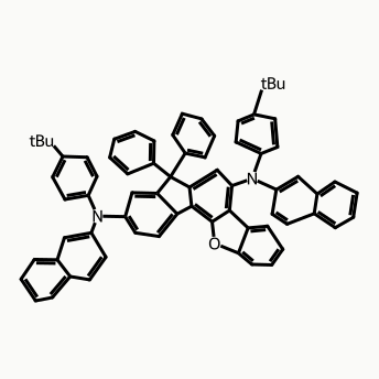 CC(C)(C)c1ccc(N(c2ccc3c(c2)C(c2ccccc2)(c2ccccc2)c2cc(N(c4ccc(C(C)(C)C)cc4)c4ccc5ccccc5c4)c4c(oc5ccccc54)c2-3)c2ccc3ccccc3c2)cc1